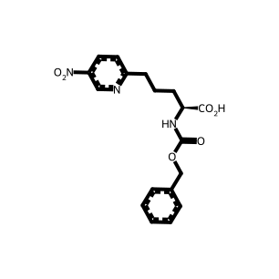 O=C(N[C@@H](CCCc1ccc([N+](=O)[O-])cn1)C(=O)O)OCc1ccccc1